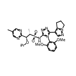 COc1cccc(OC)c1-n1c(NS(=O)(=O)[C@@H](C)[C@@H](OC(C)C)c2ncc(C)cn2)nnc1-c1cnn2c1CCC2